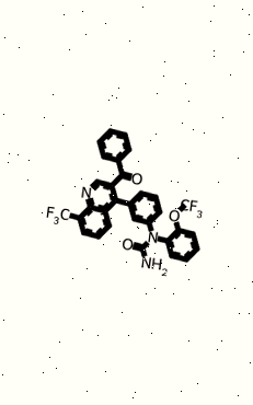 NC(=O)N(c1cccc(-c2c(C(=O)c3ccccc3)cnc3c(C(F)(F)F)cccc23)c1)c1ccccc1OC(F)(F)F